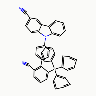 N#Cc1ccc2c(c1)c1ccccc1n2-c1ccc(-c2c(C#N)cccc2[Si](c2ccccc2)(c2ccccc2)c2ccccc2)cc1